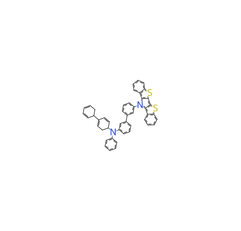 C1=CCC(C2=CCC(N(c3ccccc3)c3cccc(-c4cccc(-n5c6c7ccccc7sc6c6sc7ccccc7c65)c4)c3)C=C2)C=C1